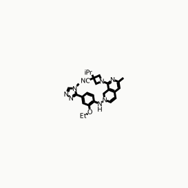 CCOc1cc(-c2nncn2C)ccc1NN1C=Cc2cc(C)nc(N3CC(C#N)(C(C)C)C3)c2C1